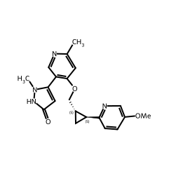 COc1ccc([C@H]2C[C@@H]2COc2cc(C)ncc2-c2cc(=O)[nH]n2C)nc1